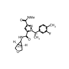 CNC(=O)c1cc(C(=O)NC2[C@H]3COC[C@@H]23)n([C@H](C)c2ccc(C)c(F)c2)n1